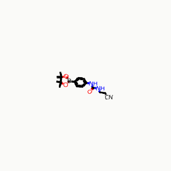 CC1(C)OB(c2ccc(NC(=O)NCCC#N)cc2)OC1(C)C